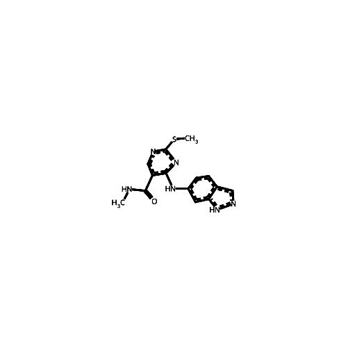 CNC(=O)c1cnc(SC)nc1Nc1ccc2cn[nH]c2c1